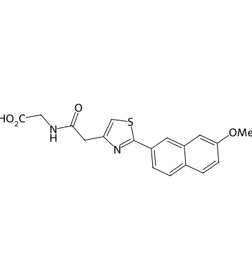 COc1ccc2ccc(-c3nc(CC(=O)NCC(=O)O)cs3)cc2c1